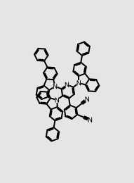 N#Cc1cccc(-c2cc(-n3c4ccccc4c4cc(-c5ccccc5)ccc43)nc(-n3c4ccccc4c4cc(-c5ccccc5)ccc43)c2-n2c3ccccc3c3cc(-c4ccccc4)ccc32)c1C#N